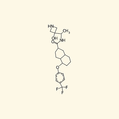 CC(NC(=O)C1CCC2C(CCCC2Oc2ccc(C(F)(F)F)cc2)C1)C1(O)CNC1